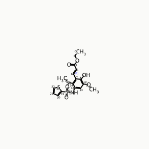 CCOC(=O)/C=C/c1c(O)c(OC)cc(NS(=O)(=O)c2cccs2)c1SC